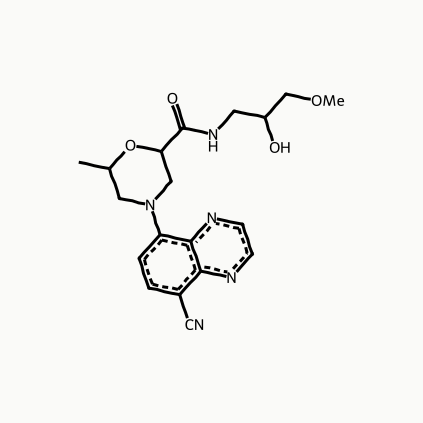 COCC(O)CNC(=O)C1CN(c2ccc(C#N)c3nccnc23)CC(C)O1